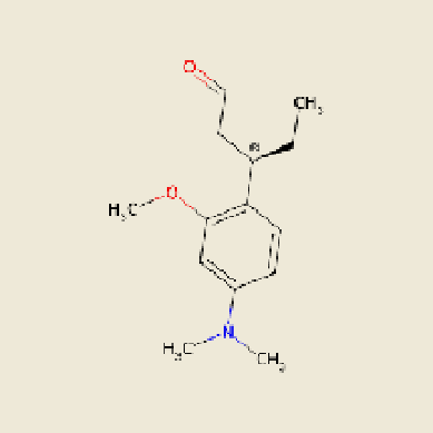 CC[C@H](CC=O)c1ccc(N(C)C)cc1OC